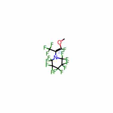 CO/C(F)=C(/N1C(F)(F)C(F)(F)C(F)(F)C(F)(F)C1(F)F)C(F)(F)F